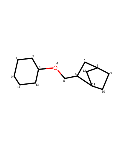 C1CCC(OCC2CC3CCC2C3)CC1